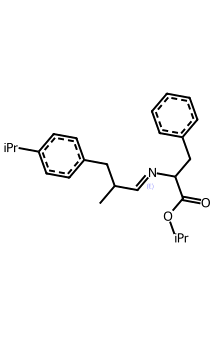 CC(/C=N/C(Cc1ccccc1)C(=O)OC(C)C)Cc1ccc(C(C)C)cc1